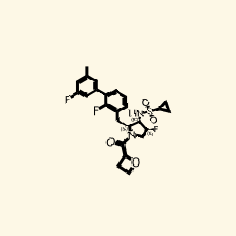 Cc1cc(F)cc(-c2cccc(C[C@H]3[C@@H](NS(=O)(=O)C4CC4)[C@@H](F)CN3C(=O)C3CCO3)c2F)c1